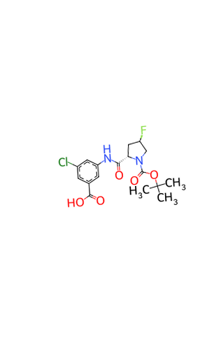 CC(C)(C)OC(=O)N1C[C@H](F)C[C@H]1C(=O)Nc1cc(Cl)cc(C(=O)O)c1